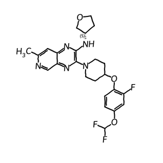 Cc1cc2nc(N[C@H]3CCOC3)c(N3CCC(Oc4ccc(OC(F)F)cc4F)CC3)nc2cn1